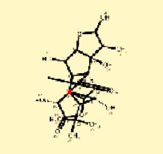 C[C@@H]1C(O)OC2[C@H](O)C34C5OC(=O)[C@]3(OC3OC(=O)[C@H](O)C34[C@H](C(C)(C)C)[C@H]5O)[C@]21O